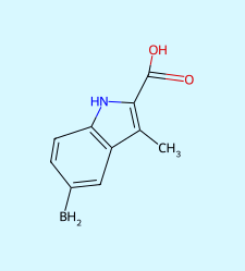 Bc1ccc2[nH]c(C(=O)O)c(C)c2c1